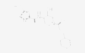 Cc1cnc(C(=O)NC2CCN(C(=O)CCC3CCCCC3)CC2C)s1